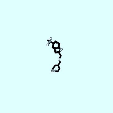 CS(=O)(=O)c1ccc2oc(COCC3CCNCC3)cc2c1